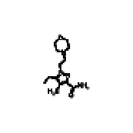 CCc1c(N)c(C(N)=O)nn1CCN1CCOCC1